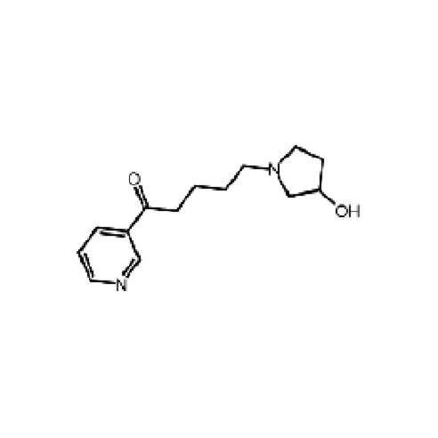 O=C(CCCCN1CCC(O)C1)c1cccnc1